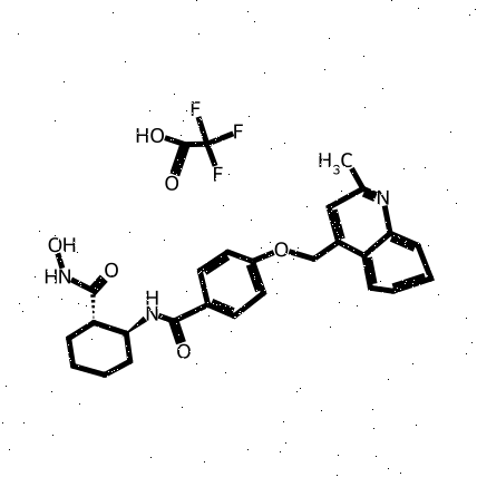 Cc1cc(COc2ccc(C(=O)N[C@H]3CCCC[C@@H]3C(=O)NO)cc2)c2ccccc2n1.O=C(O)C(F)(F)F